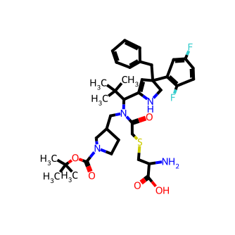 CC(C)(C)OC(=O)N1CCC(CN(C(=O)CSCC(N)C(=O)O)C(C2=CC(Cc3ccccc3)(c3cc(F)ccc3F)CN2)C(C)(C)C)C1